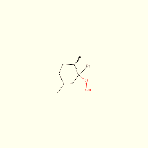 CCC1(OO)CC(C)CC[C@H]1C